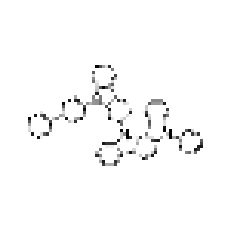 c1ccc(-c2ccc(-n3c4ccccc4c4ccc(-n5c6ccccc6c6ccc7c(c8ccccc8n7-c7ccccc7)c65)cc43)cc2)cc1